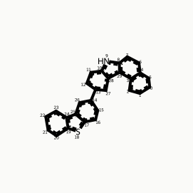 c1ccc2c(c1)ccc1[nH]c3ccc(-c4ccc5sc6ccccc6c5c4)cc3c12